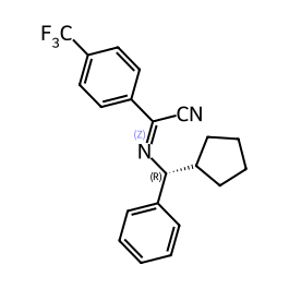 N#C/C(=N\[C@@H](c1ccccc1)C1CCCC1)c1ccc(C(F)(F)F)cc1